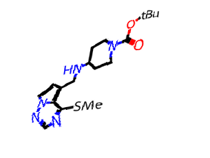 CSc1ncnn2ccc(CNC3CCN(C(=O)OC(C)(C)C)CC3)c12